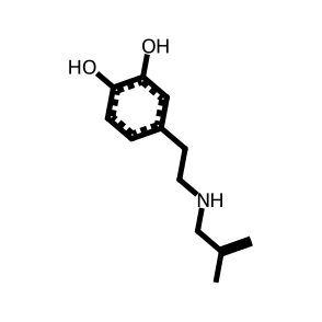 C=C(C)CNCCc1ccc(O)c(O)c1